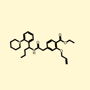 C=CCOc1cc(CC(=O)NC(CCC)c2ccccc2N2CCCCC2)ccc1C(=O)OCC